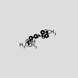 CC(=O)c1cccc(O[C@H](CCN2CCC(c3cccc(NC(=O)C(C)C)c3)CC2)c2ccccc2)c1